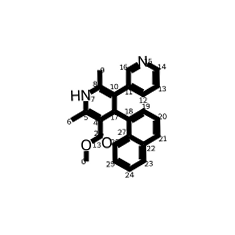 COC(=O)C1=C(C)NC(C)=C(c2cccnc2)C1c1cccc2ccccc12